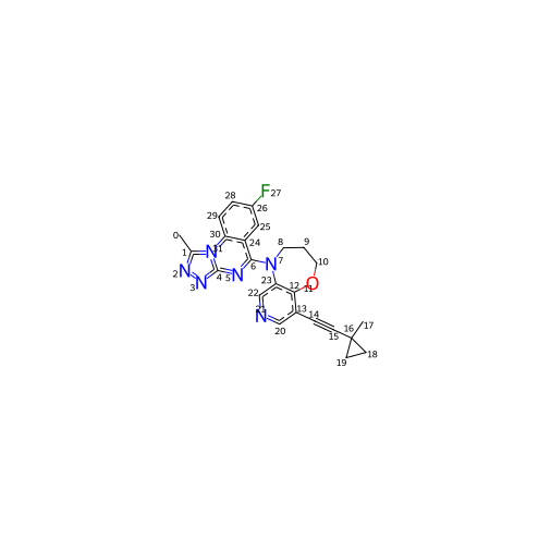 Cc1nnc2nc(N3CCCOc4c(C#CC5(C)CC5)cncc43)c3cc(F)ccc3n12